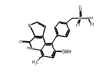 CCNS(=O)(=O)Cc1ccc(-c2c(OC)cc(C)c3[nH]c(=O)c4sccc4c23)cc1